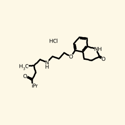 CC(CNCCCOc1cccc2c1CCC(=O)N2)CC(=O)C(C)C.Cl